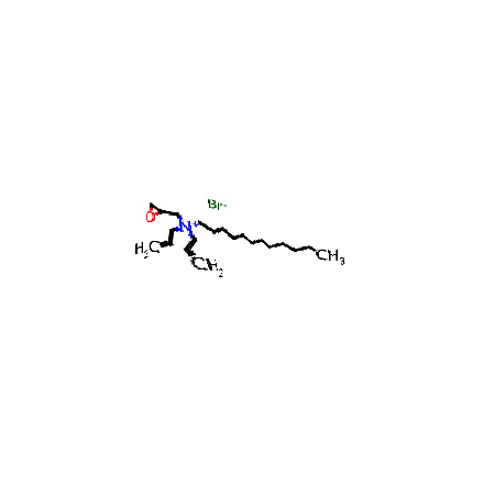 C=CC[N+](CC=C)(CCCCCCCCCCCC)CC1CO1.[Br-]